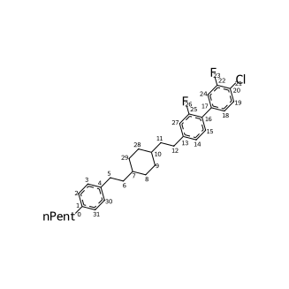 CCCCCc1ccc(CCC2CCC(CCc3ccc(-c4ccc(Cl)c(F)c4)c(F)c3)CC2)cc1